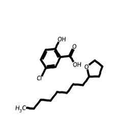 CCCCCCCCC1CCCO1.O=C(O)c1cc(Cl)ccc1O